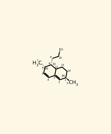 C[C@H]1C=C2C=C[C@H](C)[C@H](CCI)C2CC1